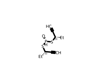 C#C[C@H](CC)S[PH](=O)S[C@H](C#C)CC